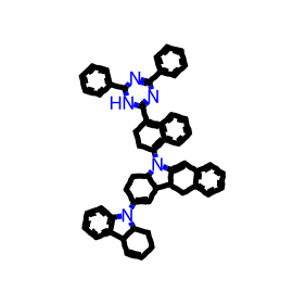 C1=CC2c3ccccc3N(C3=CC4C5Cc6ccccc6C=C5N(C5=c6ccccc6=C(C6=NC(c7ccccc7)=NC(c7ccccc7)N6)CC5)C4CC3)C2CC1